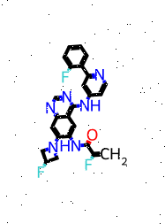 C=C(F)C(=O)Nc1cc2c(Nc3ccnc(-c4ccccc4F)c3)ncnc2cc1N1CC(F)C1